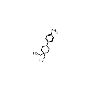 Pc1ccc(C2CCC(CS)(CS)CC2)cc1